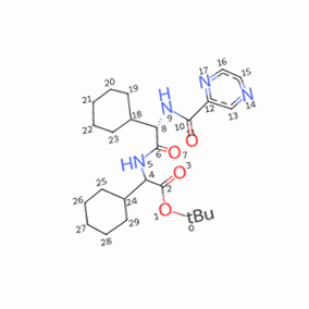 CC(C)(C)OC(=O)C(NC(=O)[C@@H](NC(=O)c1cnccn1)C1CCCCC1)C1CCCCC1